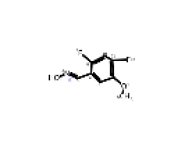 COc1cc(/C=N/O)c(F)cc1F